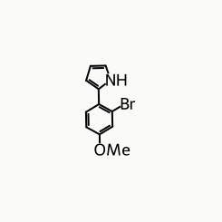 COc1ccc(-c2ccc[nH]2)c(Br)c1